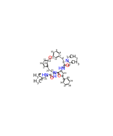 CCN(CC)[C@H]1Cc2cccc(c2)Oc2cccc(c2)C[C@@H](C(=O)NCC(C)C)NC(=O)[C@H](CCc2ccccc2)NC1=O